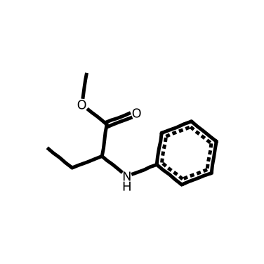 CCC(Nc1ccccc1)C(=O)OC